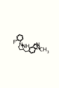 Cn1ncc2cc(CC3CCN(c4ccccc4F)N3)ccc21